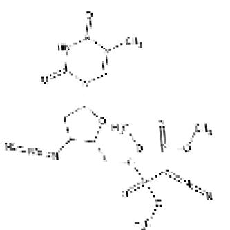 COP(=O)(OC)C(=[N+]=[N-])P(=O)(OC)OC[C@H]1O[C@@H](n2cc(C)c(=O)[nH]c2=O)CC1N=[N+]=[N-]